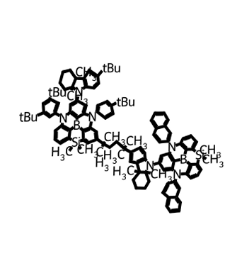 CC(C)(C)c1ccc(N2c3cc(N4c5ccc(C(C)(C)C)cc5C5(C)CCCCC45C)cc4c3B3c5c(cccc5[Si](C)(C)c5cc(C(C)(C)CCC(C)(C)c6ccc7c(c6)C6(C)CCCCC6(C)N7c6cc7c8c(c6)N(c6ccc9ccccc9c6)c6cccc9c6B8c6c(cccc6[Si]9(C)C)N7c6ccc7ccccc7c6)cc2c53)N4c2cc(C(C)(C)C)cc(C(C)(C)C)c2)cc1